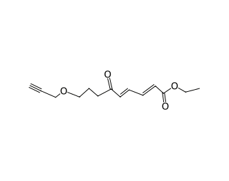 C#CCOCCCC(=O)C=CC=CC(=O)OCC